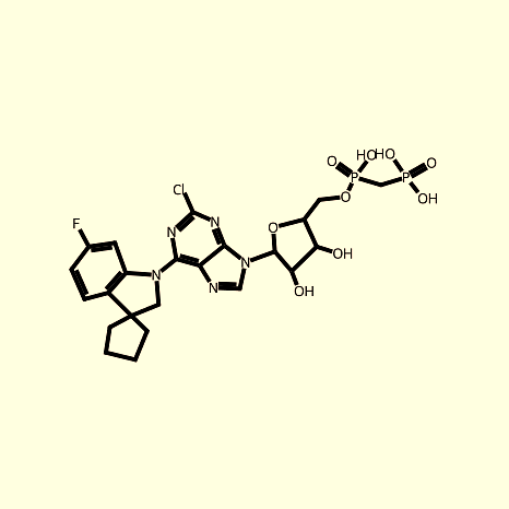 O=P(O)(O)CP(=O)(O)OCC1OC(n2cnc3c(N4CC5(CCCC5)c5ccc(F)cc54)nc(Cl)nc32)C(O)C1O